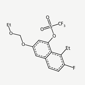 CCOCOc1cc(OS(=O)(=O)C(F)(F)F)c2c(CC)c(F)ccc2c1